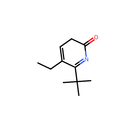 CCC1=CCC(=O)N=C1C(C)(C)C